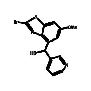 COc1cc(C(O)c2cccnc2)c2nc(Br)sc2c1